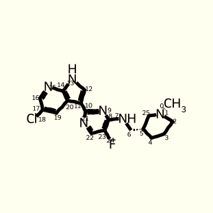 CN1CCC[C@H](CNc2nc(-c3c[nH]c4ncc(Cl)cc34)ncc2F)C1